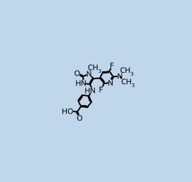 CN(C)c1nc(F)c(-c2c(Nc3ccc(C(=O)O)cc3)[nH]c(=O)n2C)cc1F